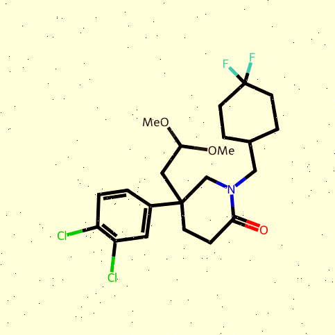 COC(CC1(c2ccc(Cl)c(Cl)c2)CCC(=O)N(CC2CCC(F)(F)CC2)C1)OC